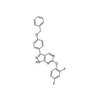 Fc1ccc(Oc2ncc3c(-c4ccc(OCc5ccccc5)cc4)n[nH]c3n2)c(F)c1